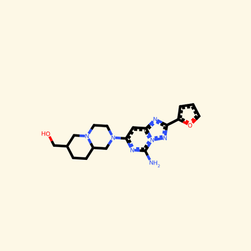 Nc1nc(N2CCN3CC(CO)CCC3C2)cc2nc(-c3ccco3)nn12